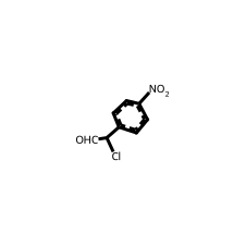 O=CC(Cl)c1ccc([N+](=O)[O-])cc1